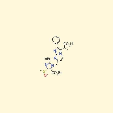 CCCCc1nc([S+](C)[O-])c(C(=O)OCC)n1Cc1ccn2c(C(C)C(=O)O)c(-c3ccccc3)nc2n1